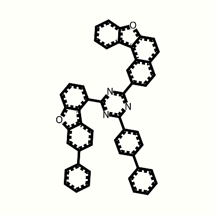 c1ccc(-c2ccc(-c3nc(-c4ccc5ccc6oc7ccccc7c6c5c4)nc(-c4cccc5oc6cc(-c7ccccc7)ccc6c45)n3)cc2)cc1